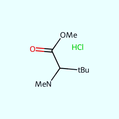 CNC(C(=O)OC)C(C)(C)C.Cl